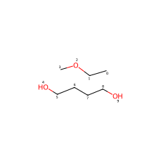 CCOC.OCCCCO